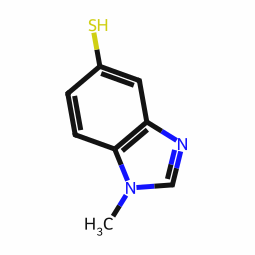 Cn1cnc2cc(S)ccc21